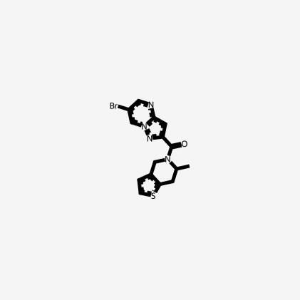 CC1Cc2sccc2CN1C(=O)c1cc2ncc(Br)cn2n1